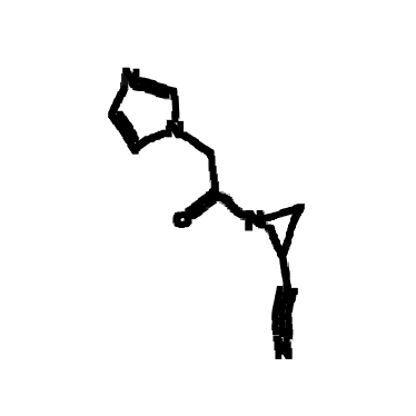 N#CC1CN1C(=O)Cn1ccnc1